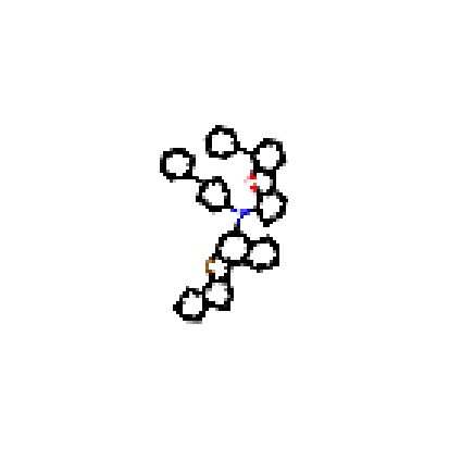 c1ccc(-c2ccc(N(c3cc4sc5c6ccccc6ccc5c4c4ccccc34)c3cccc4c3oc3c(-c5ccccc5)cccc34)cc2)cc1